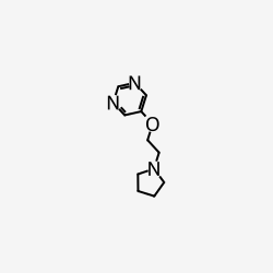 c1ncc(OCCN2CCCC2)cn1